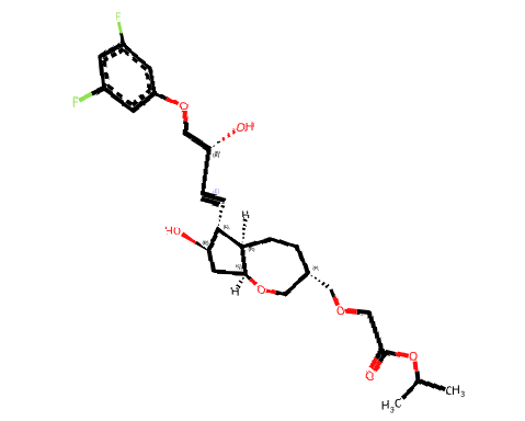 CC(C)OC(=O)COC[C@H]1CC[C@@H]2[C@@H](/C=C/[C@@H](O)COc3cc(F)cc(F)c3)[C@H](O)C[C@@H]2OC1